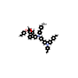 C=Cc1ccc(N2C3=CC=C(C4=CCC(C=C)CC4)CC3C3C=C(C4=CC=C(N(c5ccc(C6=CC=C(C(C)(C)C)CC6)cc5)C5C=C6C(CC5)c5ccccc5C6(CC(C)CCC(C)COC5C=CC(C=C)CC5)c5ccccc5)CC4)CCC32)cc1